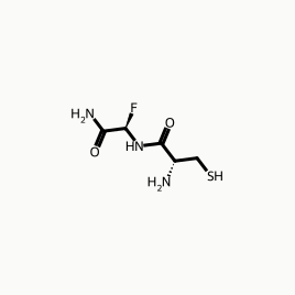 NC(=O)[C@@H](F)NC(=O)[C@@H](N)CS